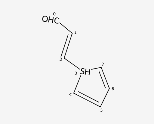 O=CC=C[SH]1C=CC=C1